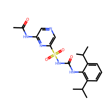 CC(=O)Nc1cncc(S(=O)(=O)NC(=O)Nc2c(C(C)C)cccc2C(C)C)n1